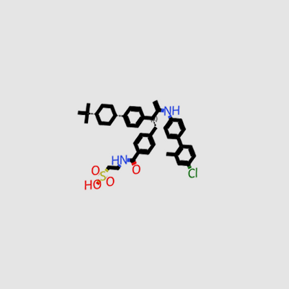 C=C(Nc1ccc(-c2ccc(Cl)cc2C)cc1)[C@H](Cc1ccc(C(=O)NCCS(=O)(=O)O)cc1)c1ccc([C@H]2CC[C@@H](C(C)(C)C)CC2)cc1